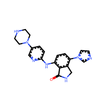 O=C1NCc2c(-n3ccnc3)ccc(Nc3ccc(N4CCNCC4)cn3)c21